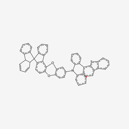 C1=CC2c3ccccc3C3(c4ccccc4-c4c3ccc3c4Oc4cc(N(c5ccccc5)c5ccccc5-c5cccc6c5sc5ccccc56)ccc4O3)C2C=C1